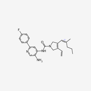 C=CC1=C(/C=C(/C)CCC)CN(C(=O)Nc2cc(-c3ccc(F)cc3)ncc2N)C1